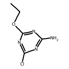 CCOc1nc(N)nc(Cl)n1